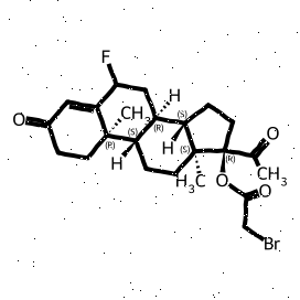 CC(=O)[C@@]1(OC(=O)CBr)CC[C@H]2[C@@H]3CC(F)C4=CC(=O)CC[C@]4(C)[C@H]3CC[C@@]21C